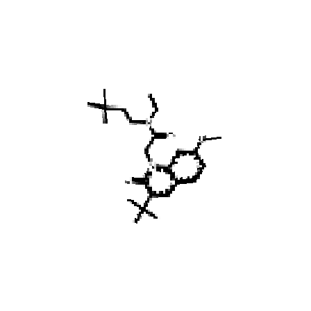 CCN(CCC(C)(C)C)C(=O)Cn1c(=O)c(C(C)(C)C)cc2ccc(OC)cc21